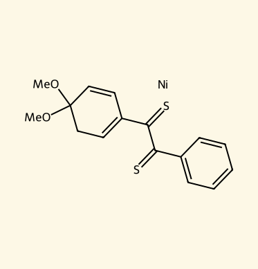 COC1(OC)C=CC(C(=S)C(=S)c2ccccc2)=CC1.[Ni]